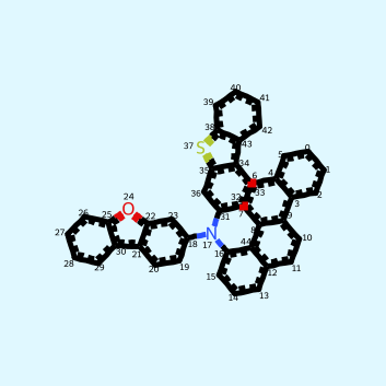 c1ccc2c(c1)ccc1c2ccc2cccc(N(c3ccc4c(c3)oc3ccccc34)c3ccc4c(c3)sc3ccccc34)c21